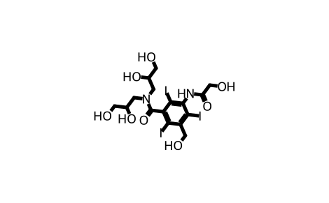 O=C(CO)Nc1c(I)c(CO)c(I)c(C(=O)N(CC(O)CO)CC(O)CO)c1I